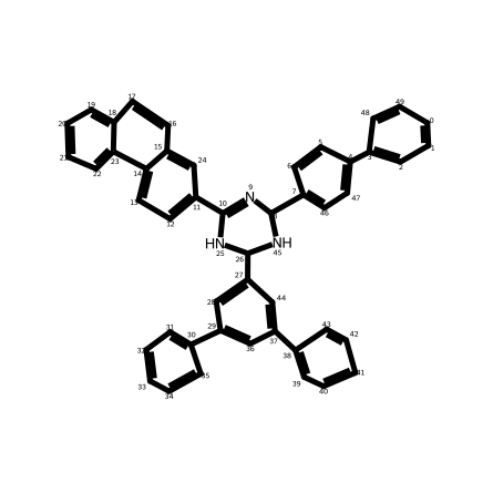 c1ccc(-c2ccc(C3N=C(c4ccc5c(ccc6ccccc65)c4)NC(c4cc(-c5ccccc5)cc(-c5ccccc5)c4)N3)cc2)cc1